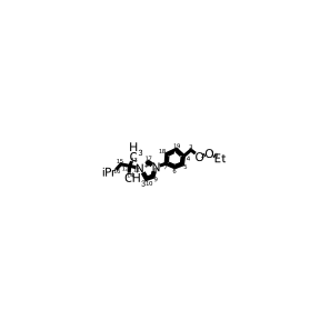 CCOOCc1ccc(-n2cc[n+](C(C)(C)CC(C)C)c2)cc1